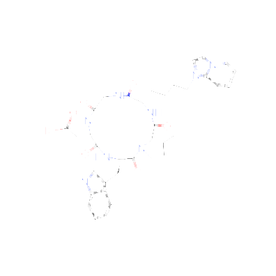 CC(C)[C@H]1C(=O)N[C@@H](CCCCn2cc[n+]3ccccc23)C(=O)NCC(=O)N[C@@H](CC(=O)O)C(=O)N[C@H](Cc2c[nH]c3ccccc23)C(=O)N1C